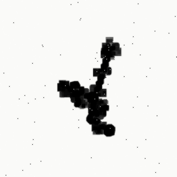 CNC(C)C(=O)NC(C(=O)N1CCCC1Cn1nnnc1S)C(C)OCc1cc(COC(C)C(NC(=O)C(C)NC)C(=O)N2CCCC2Cn2nnnc2Sc2ccccc2)cc(NC(=O)CCCCCNC(=O)CCCCC2SC[C@@H]3NC(=O)N[C@H]23)c1